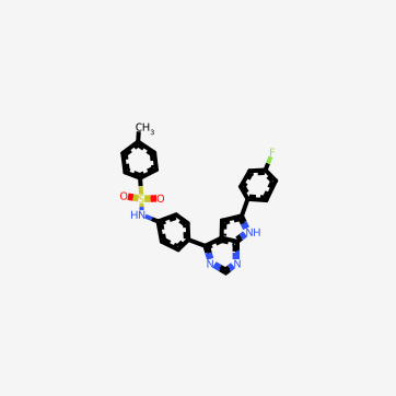 Cc1ccc(S(=O)(=O)Nc2ccc(-c3ncnc4[nH]c(-c5ccc(F)cc5)cc34)cc2)cc1